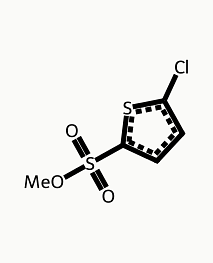 COS(=O)(=O)c1ccc(Cl)s1